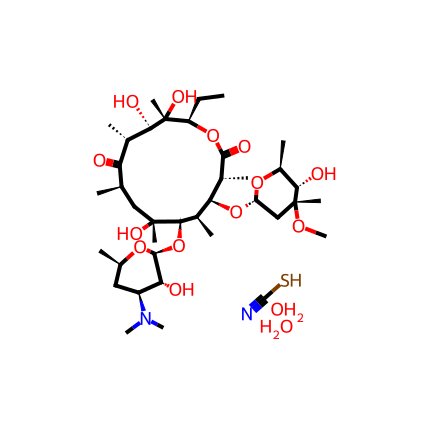 CC[C@H]1OC(=O)[C@H](C)[C@@H](O[C@H]2C[C@@](C)(OC)[C@@H](O)[C@H](C)O2)[C@@H](C)[C@@H](O[C@@H]2O[C@H](C)C[C@H](N(C)C)[C@H]2O)[C@](C)(O)C[C@@H](C)C(=O)[C@H](C)[C@H](O)[C@]1(C)O.N#CS.O.O